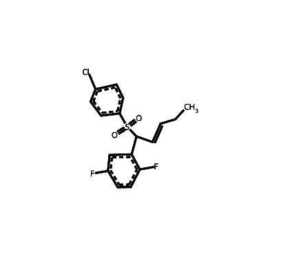 CC/C=C/C(c1cc(F)ccc1F)S(=O)(=O)c1ccc(Cl)cc1